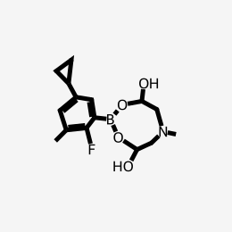 Cc1cc(C2CC2)cc(B2OC(O)CN(C)CC(O)O2)c1F